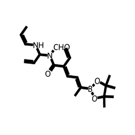 C=C/C(=C\C=C(/C)B1OC(C)(C)C(C)(C)O1)C(=O)N(C=O)C(C=C)N/C=C\C